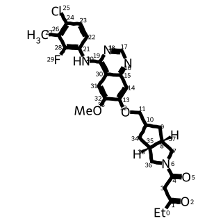 CCC(=O)CC(=O)N1C[C@H]2CC(COc3cc4ncnc(Nc5ccc(Cl)c(C)c5F)c4cc3OC)C[C@H]2C1